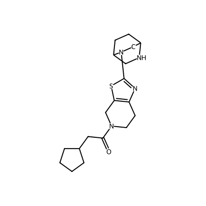 O=C(CC1CCCC1)N1CCc2nc(N3CC4CCC3CN4)sc2C1